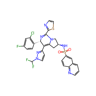 O=S(=O)(N[C@H]1CC2=C(c3ccn(C(F)F)n3)[C@H](c3ccc(F)cc3Cl)N=C(c3nccs3)N2C1)c1ccc2ncccc2c1